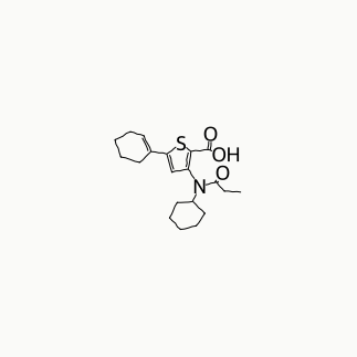 CCC(=O)N(c1cc(C2=CCCCC2)sc1C(=O)O)C1CCCCC1